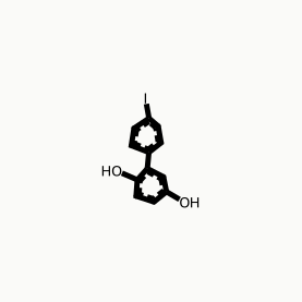 Oc1ccc(O)c(-c2ccc(I)cc2)c1